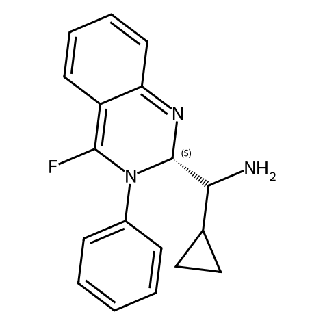 NC(C1CC1)[C@H]1N=c2ccccc2=C(F)N1c1ccccc1